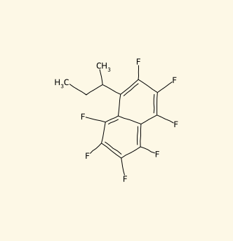 CCC(C)c1c(F)c(F)c(F)c2c(F)c(F)c(F)c(F)c12